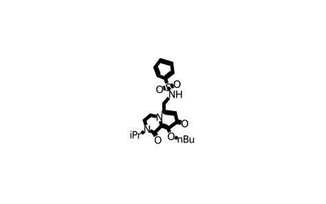 CCCCOc1c2n(c(CNS(=O)(=O)c3ccccc3)cc1=O)CCN(C(C)C)C2=O